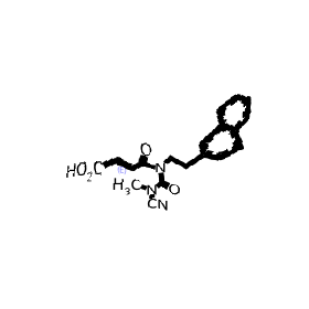 CN(C#N)C(=O)N(CCc1ccc2ccccc2c1)C(=O)/C=C/C(=O)O